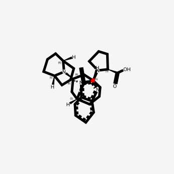 C=C1C[C@@H]2CCC[C@H]1C[C@H](N1[C@@H]3CCC[C@H]1C[C@@H](n1c(N4CCC[C@H]4C(=O)O)nc4ccccc41)C3)C2